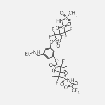 CCNCc1cc(OS(=O)(=O)C(F)(F)C(F)(F)C(F)(F)S(=O)(=O)NS(C)(=O)=O)cc(OS(=O)(=O)C(F)(F)C(F)(F)C(F)(F)S(=O)(=O)NS(=O)(=O)C(F)(F)F)c1